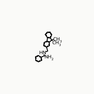 CC1(C)c2ccccc2-c2ccc(CNC(N)c3ccccc3)cc21